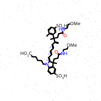 C=C(/C=C/C=C/C=C1/N(CCCCCC(=O)O)c2ccc(S(=O)(=O)O)cc2C1(C)CCC(=O)NCCOC)C(C)(CCC(=O)NCCOC)c1cc(S(=O)(=O)O)ccc1C